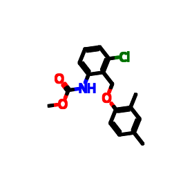 COC(=O)Nc1cccc(Cl)c1COc1ccc(C)cc1C